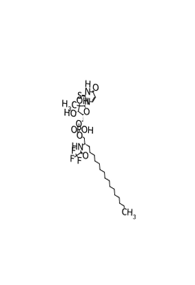 CCCCCCCCCCCCCCCC[C@H](COP(=O)(O)OC[C@H]1O[C@@H](n2ccc(=O)[nH]c2=S)C(C)(O)[C@H]1O)NC(=O)C(F)(F)F